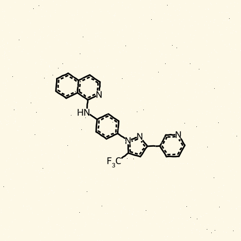 FC(F)(F)c1cc(-c2cccnc2)nn1-c1ccc(Nc2nccc3ccccc23)cc1